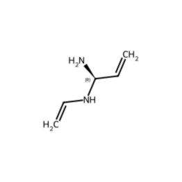 C=CN[C@@H](N)C=C